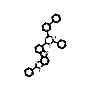 c1ccc(-c2cccc(C3=NC(c4cccc5c4oc4ccc6c(c45)OC(c4ccccc4)N6)NC(c4ccccc4)N3)c2)cc1